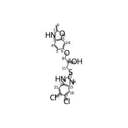 C=C1Nc2ccc(OC[C@@H](O)CSc3nc4cc(Cl)c(Cl)cc4[nH]3)cc2O1